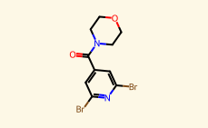 O=C(c1cc(Br)nc(Br)c1)N1CCOCC1